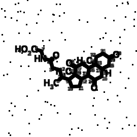 CC(CCC(=O)NCC(=O)O)C1CCC2C3C(=O)C[C@@H]4CC(=O)CC[C@]4(C)C3CC(=O)[C@]12C